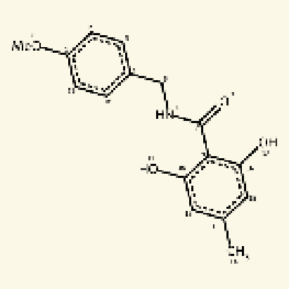 COc1ccc(CNC(=O)c2c(O)cc(C)cc2O)cc1